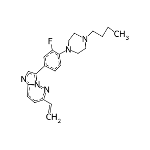 C=Cc1ccc2ncc(-c3ccc(N4CCN(CCCC)CC4)c(F)c3)n2n1